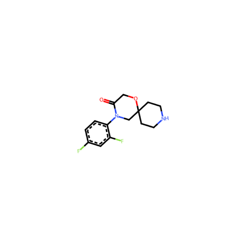 O=C1COC2(CCNCC2)CN1c1ccc(F)cc1F